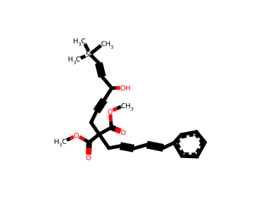 COC(=O)C(CC#CC#Cc1ccccc1)(CC#CC(O)C#C[Si](C)(C)C)C(=O)OC